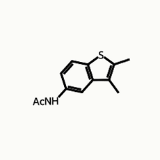 CC(=O)Nc1ccc2sc(C)c(C)c2c1